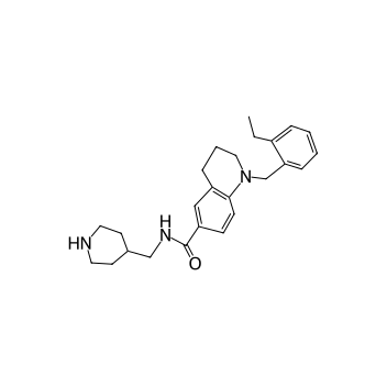 CCc1ccccc1CN1CCCc2cc(C(=O)NCC3CCNCC3)ccc21